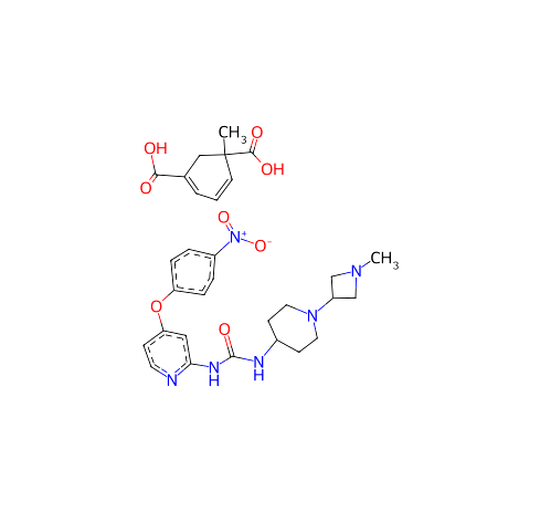 CC1(C(=O)O)C=CC=C(C(=O)O)C1.CN1CC(N2CCC(NC(=O)Nc3cc(Oc4ccc([N+](=O)[O-])cc4)ccn3)CC2)C1